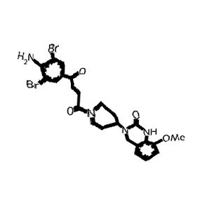 COc1cccc2c1NC(=O)N(C1CCN(C(=O)CCC(=O)c3cc(Br)c(N)c(Br)c3)CC1)C2